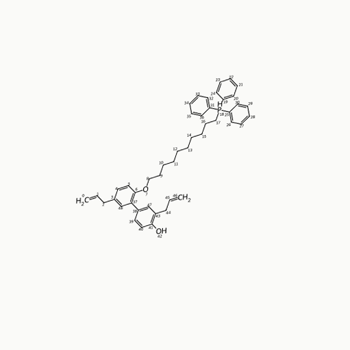 C=CCc1ccc(OCCCCCCCCCC[PH](c2ccccc2)(c2ccccc2)c2ccccc2)c(-c2ccc(O)c(CC=C)c2)c1